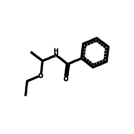 CCOC(C)NC(=O)c1ccccc1